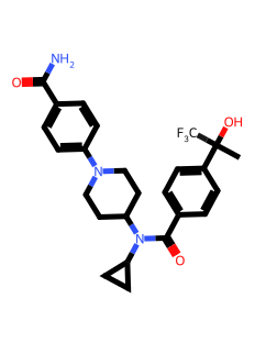 CC(O)(c1ccc(C(=O)N(C2CC2)C2CCN(c3ccc(C(N)=O)cc3)CC2)cc1)C(F)(F)F